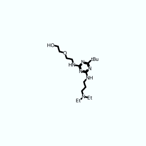 CCN(CC)CCCNc1nc(NCCOCCO)nc(C(C)(C)C)n1